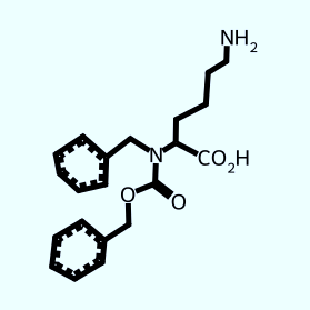 NCCCCC(C(=O)O)N(Cc1ccccc1)C(=O)OCc1ccccc1